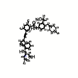 Cc1cc(F)c(C(=O)Nc2ccc(CN3CCN(C)CC3)c(C(C)(C)C#N)c2)cc1C#Cc1cnc2c(N/C(C=N)=C/N(C)C)cccn12